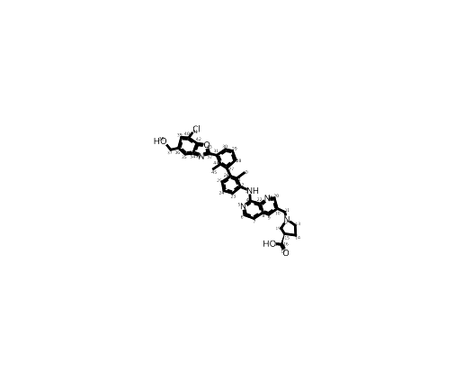 Cc1c(Nc2nccc3cc(CN4CC[C@@H](C(=O)O)C4)cnc23)cccc1-c1cccc(-c2nc3cc(CO)cc(Cl)c3o2)c1C